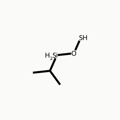 CC(C)[SiH2]OS